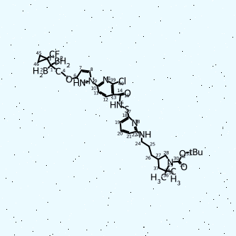 BC(B)(CCOC1C=CN(c2ccc(C(=O)NSc3cccc(NCCCC4CN(C(=O)OC(C)(C)C)C(C)(C)C4)n3)c(Cl)n2)N1)C1(C(F)(F)F)CC1